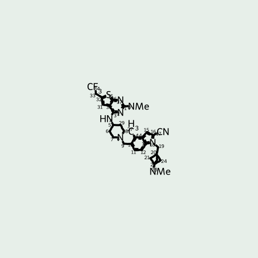 CNc1nc(NC2CCN(Cc3ccc4c(cc(C#N)n4CC45CC(NC)(C4)C5)c3C)CC2)c2cc(CC(F)(F)F)sc2n1